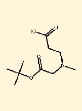 CN(CCC(=O)O)CC(=O)OC(C)(C)C